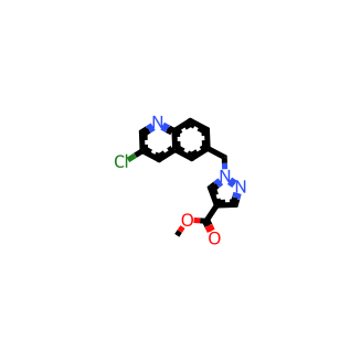 COC(=O)c1cnn(Cc2ccc3ncc(Cl)cc3c2)c1